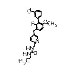 CCNC(=O)NCc1ccc(Cc2ccc(OC)c(-c3cccc(Cl)c3)c2F)cn1